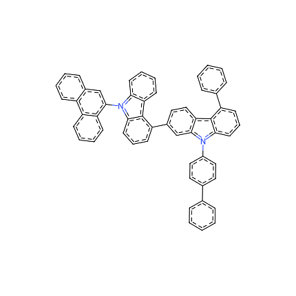 c1ccc(-c2ccc(-n3c4cc(-c5cccc6c5c5ccccc5n6-c5cc6ccccc6c6ccccc56)ccc4c4c(-c5ccccc5)cccc43)cc2)cc1